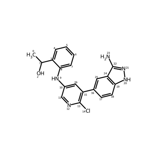 CC(O)c1ccccc1Nc1cnc(Cl)c(-c2ccc3[nH]nc(N)c3c2)c1